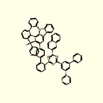 CC1(c2ccccc2)c2cccc3c2-c2c1c(-c1ccc(-c4ccccc4-c4nc(-c5cc(-c6ccccc6)cc(-c6ccccc6)c5)nc(-c5ccc6ccccc6c5)n4)cc1)cc1c4ccccc4n(c21)-c1ccccc1-3